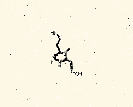 C[n+]1c(CCC(C)(C)C)c[nH]c1C=NO.[I-]